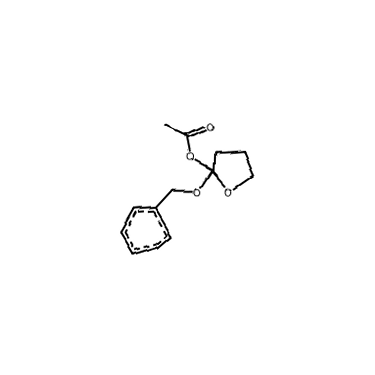 CC(=O)OC1(OCc2ccccc2)CCCO1